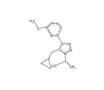 CSc1nccc(-c2cnn(C(C)C)c2CC2CC2)n1